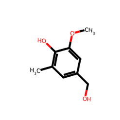 COc1cc(CO)cc(C)c1O